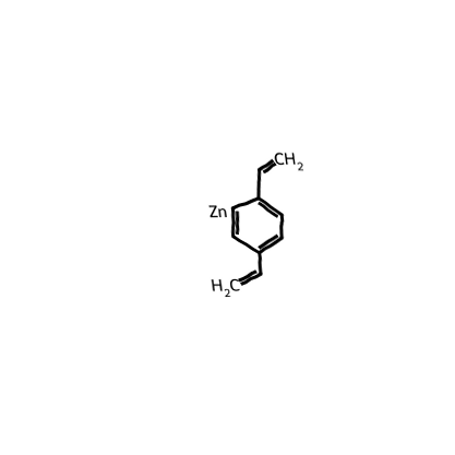 C=Cc1ccc(C=C)cc1.[Zn]